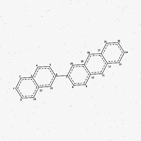 [c]1ccc2ccc(-c3ccc4cc5cc[c]cc5cc4c3)cc2c1